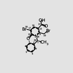 C[C@@H](c1ccccc1)n1c(CBr)c(C(=O)O)cc(Br)c1=O